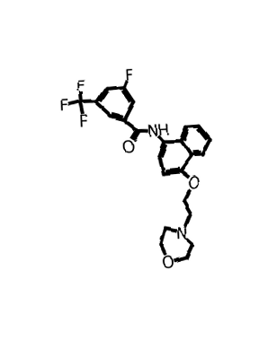 O=C(Nc1ccc(OCCN2CCOCC2)c2ccccc12)c1cc(F)cc(C(F)(F)F)c1